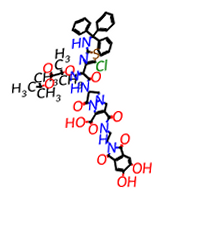 CC(C)(C)OC(=O)C(C)(C)ON=C(C(=O)NC1CN2CC(C(=O)NCCN3C(=O)c4cc(O)c(O)cc4C3=O)=C(C(=O)O)N2C1=O)c1nc(NC(c2ccccc2)(c2ccccc2)c2ccccc2)sc1Cl